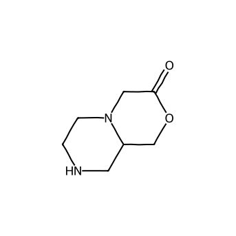 O=C1CN2CCNCC2CO1